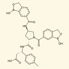 Cc1ccc([C@H](CC(=O)O)NC(=O)[C@@H]2C[C@@H](NC(=O)c3ccc4c(c3)B(O)OC4)CN2C(=O)c2ccc3c(c2)B(O)OC3)cc1